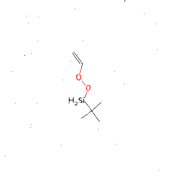 C=COO[SiH2]C(C)(C)C